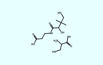 CC(C)(CO)C(O)C(=O)NCCC(=O)O.NC(CO)C(=O)O